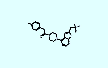 Cc1ccc(CC(=O)N2CCN(c3ncnc4sc(CC(F)(F)F)cc34)CC2)cc1